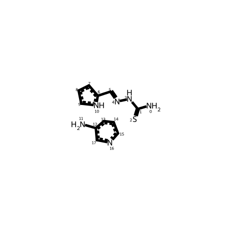 NC(=S)NN=Cc1ccc[nH]1.Nc1cccnc1